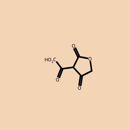 O=C(O)C(=O)C1C(=O)COC1=O